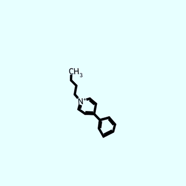 CCCC[n+]1ccc(-c2ccccc2)cc1